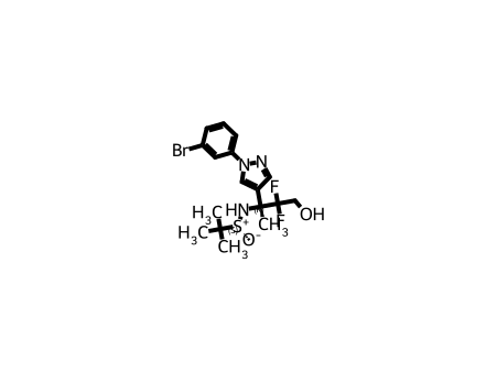 CC(C)(C)[S@@+]([O-])N[C@](C)(c1cnn(-c2cccc(Br)c2)c1)C(F)(F)CO